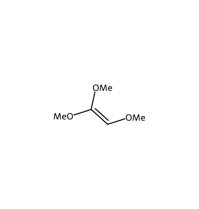 COC=C(OC)OC